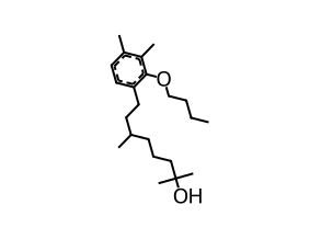 CCCCOc1c(CCC(C)CCCC(C)(C)O)ccc(C)c1C